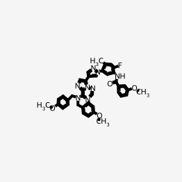 COc1ccc(CN(Cc2ccc(OC)cc2)c2ncnn3c(-c4cnn(-c5cc(NC(=O)c6cccc(OC)c6)c(F)cc5C)c4)cnc23)cc1